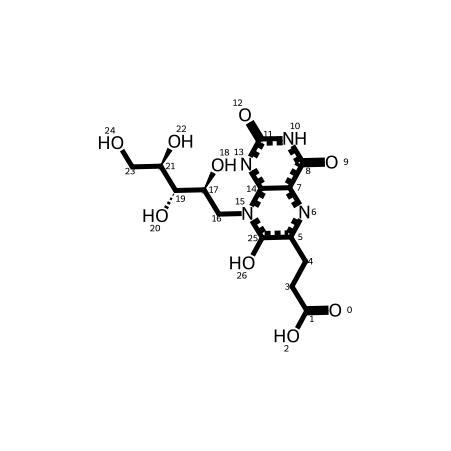 O=C(O)CCc1nc2c(=O)[nH]c(=O)nc-2n(C[C@H](O)[C@H](O)[C@H](O)CO)c1O